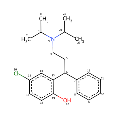 CC(C)N(CCC(c1ccccc1)c1cc(Cl)ccc1O)C(C)C